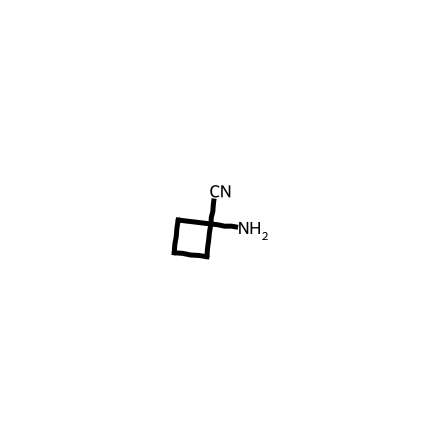 N#CC1(N)CCC1